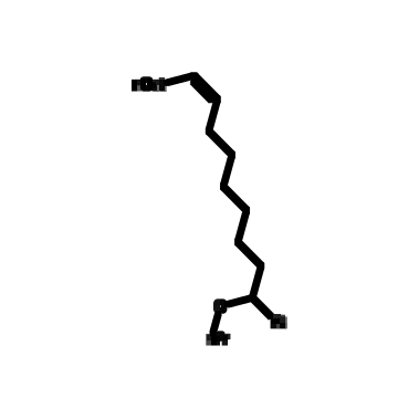 CCCCCCCC/C=C\CCCCCCC(CC)OCCC